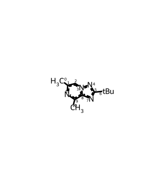 Cc1cn2nc(C(C)(C)C)nc2c(C)n1